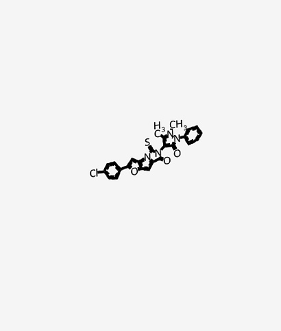 Cc1c(N2C(=O)c3cc4oc(-c5ccc(Cl)cc5)cc4n3C2=S)c(=O)n(-c2ccccc2)n1C